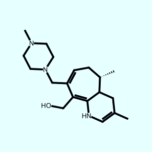 CC1=CNC2=C(CO)C(CN3CCN(C)CC3)=CC[C@H](C)C2C1